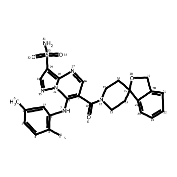 Cc1ccc(F)c(Nc2c(C(=O)N3CCC4(CC3)OCc3ccccc34)cnc3c(S(N)(=O)=O)cnn23)c1